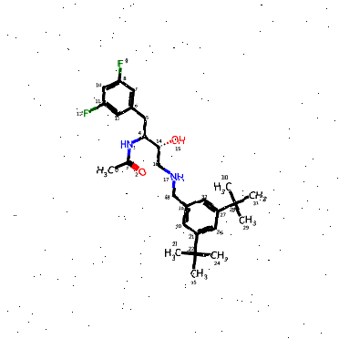 CC(=O)NC(Cc1cc(F)cc(F)c1)[C@H](O)CNCc1cc(C(C)(C)C)cc(C(C)(C)C)c1